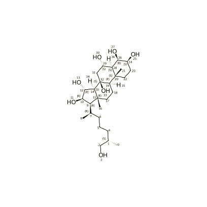 C[C@H](CO)CCC[C@@H](C)[C@H]1[C@@H](O)[C@H](O)[C@@H]2[C@]1(C)CC[C@@H]1[C@@]3(C)CC[C@H](O)[C@H](O)[C@@H]3[C@@H](O)C[C@]12O